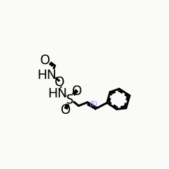 O=CNONS(=O)(=O)C/C=C/c1ccccc1